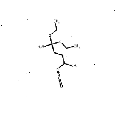 CCOC([SiH3])(CCC(C)N=C=O)OCC